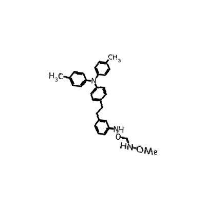 CONCONc1cccc(CCc2ccc(N(c3ccc(C)cc3)c3ccc(C)cc3)cc2)c1